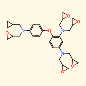 c1cc(N(CC2CC2)CC2CO2)ccc1Oc1ccc(N(CC2CO2)CC2CO2)cc1N(CC1CO1)CC1CO1